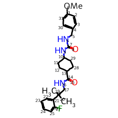 COc1ccc(CNC(=O)NC2CCC(C(=O)NCC(C)(C)c3ccccc3F)CC2)cc1